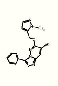 CC(C)c1cc2nnc(-c3ccccc3)n2nc1OCc1ncnn1C